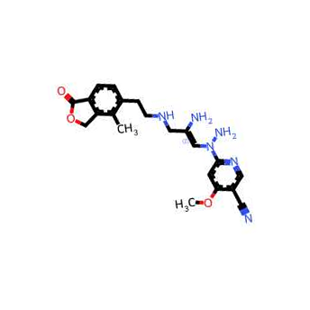 COc1cc(N(N)/C=C(\N)CNCCc2ccc3c(c2C)COC3=O)ncc1C#N